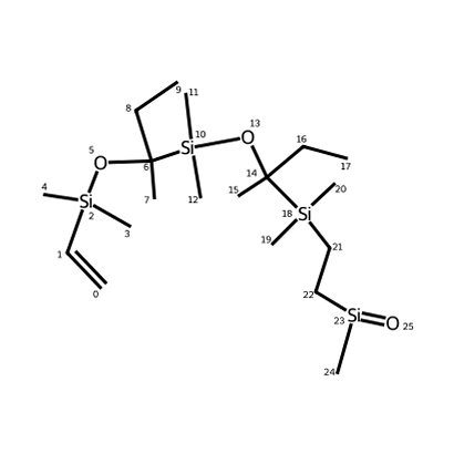 C=C[Si](C)(C)OC(C)(CC)[Si](C)(C)OC(C)(CC)[Si](C)(C)CC[Si](C)=O